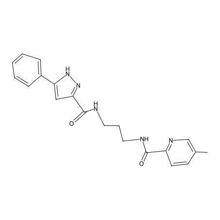 Cc1ccc(C(=O)NCCCNC(=O)c2cc(-c3ccccc3)[nH]n2)nc1